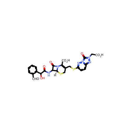 O=Cc1ccccc1C(O)C(=O)NC1C(=O)N2C(C(=O)O)=C(CSc3ccc4nn(CC(=O)O)c(=O)n4n3)CS[C@@H]12